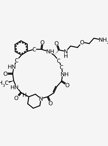 C[C@@H]1NC(=O)[C@@H]2CCCN(C2)C(=O)/C=C/C(=O)NCC[C@@H](C(=O)NCCOCCN)NC(=O)Cc2ccccc2CNC1=O